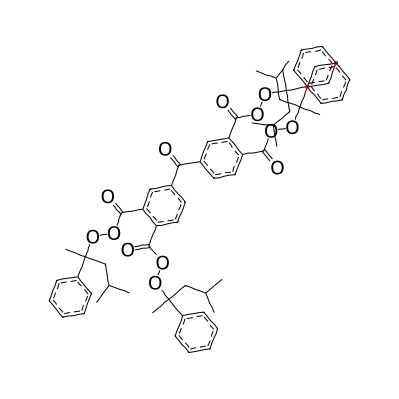 CC(C)CC(C)(OOC(=O)c1ccc(C(=O)c2ccc(C(=O)OOC(C)(CC(C)C)c3ccccc3)c(C(=O)OOC(C)(CC(C)C)c3ccccc3)c2)cc1C(=O)OOC(C)(CC(C)C)c1ccccc1)c1ccccc1